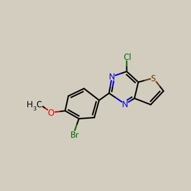 COc1ccc(-c2nc(Cl)c3sccc3n2)cc1Br